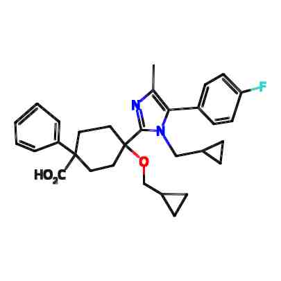 Cc1nc(C2(OCC3CC3)CCC(C(=O)O)(c3ccccc3)CC2)n(CC2CC2)c1-c1ccc(F)cc1